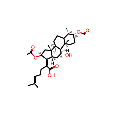 CC(=O)O[C@H]1C[C@@]2(C)[C@H](C[C@@H](O)[C@@H]3[C@@]4(C)CC[C@@H](OC=O)[C@@H](C)C4CC[C@@]32C)C1=C(CCC=C(C)C)C(=O)O